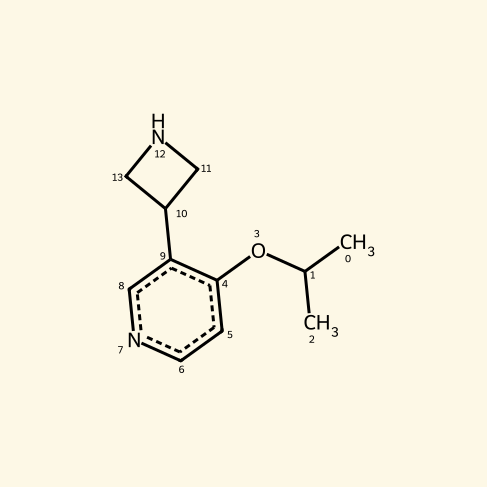 CC(C)Oc1ccncc1C1CNC1